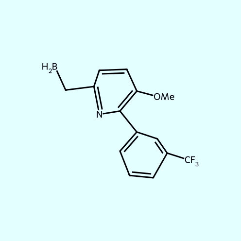 BCc1ccc(OC)c(-c2cccc(C(F)(F)F)c2)n1